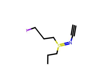 C#C/N=S(/CCC)CCCI